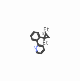 CC[C@H]1CC1(CC)c1ccccc1-c1ccccn1